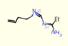 C=CCC/N=C\N=C(\N)CC